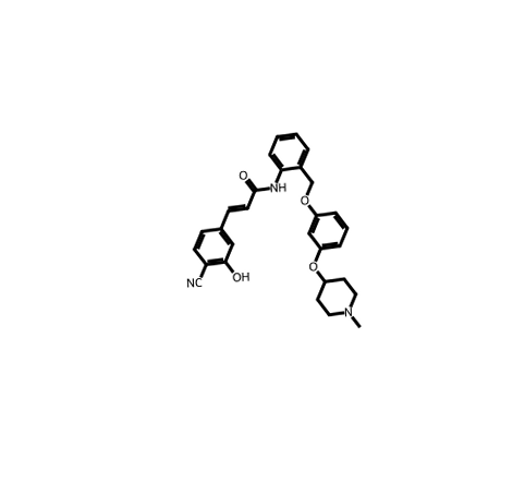 CN1CCC(Oc2cccc(OCc3ccccc3NC(=O)C=Cc3ccc(C#N)c(O)c3)c2)CC1